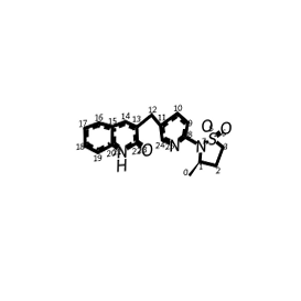 C[C@@H]1CCS(=O)(=O)N1c1ccc(Cc2cc3ccccc3[nH]c2=O)cn1